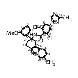 COc1cccc(C2(NC(=O)c3c(Cl)cc(-n4cnc(C)n4)cc3Cl)CCc3nn4cc(C)ccc4c3C2)c1